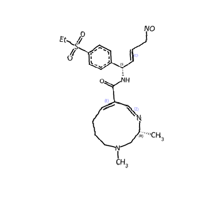 CCS(=O)(=O)c1ccc([C@H](/C=C/CN=O)NC(=O)C2=C/CCCN(C)C[C@@H](C)/N=C\2)cc1